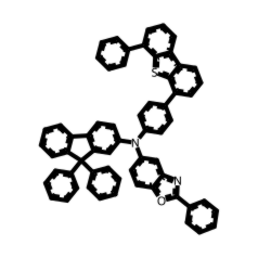 c1ccc(-c2nc3cc(N(c4ccc(-c5cccc6c5sc5c(-c7ccccc7)cccc56)cc4)c4ccc5c(c4)C(c4ccccc4)(c4ccccc4)c4ccccc4-5)ccc3o2)cc1